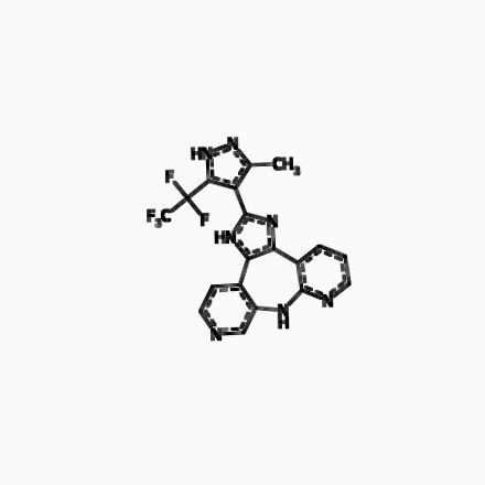 Cc1n[nH]c(C(F)(F)C(F)(F)F)c1-c1nc2c([nH]1)-c1ccncc1Nc1ncccc1-2